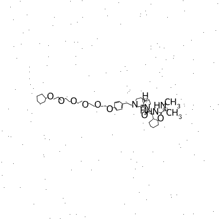 CN[C@@H](C)C(=O)NC(C(=O)N1CC[C@@H]2CCN(CCc3ccc(OCCOCCOCCOCCOCCOC4CCCCC4)cc3)C[C@@H]21)C1CCCCC1